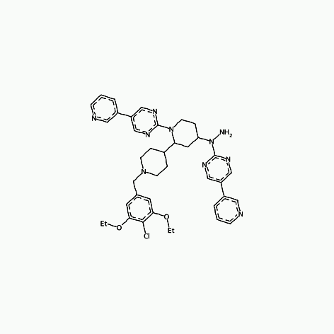 CCOc1cc(CN2CCC(C3CC(N(N)c4ncc(-c5cccnc5)cn4)CCN3c3ncc(-c4cccnc4)cn3)CC2)cc(OCC)c1Cl